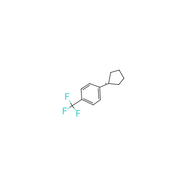 FC(F)(F)c1ccc([C]2CCCC2)cc1